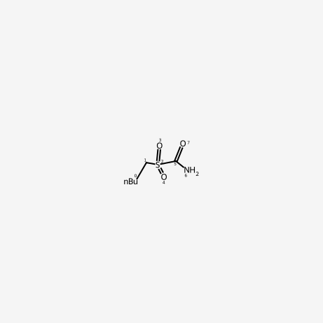 CCCCCS(=O)(=O)C(N)=O